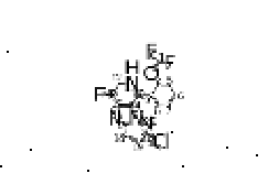 FC(F)Oc1ccccc1[C@@H]1NC[C@H](F)c2nc3ccc(Cl)nn3c21